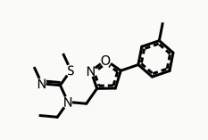 CCN(Cc1cc(-c2cccc(C)c2)on1)/C(=N/C)SC